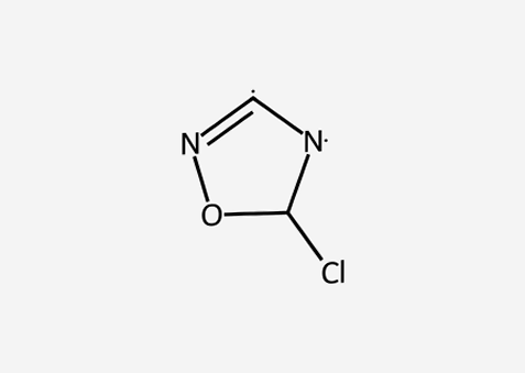 ClC1[N][C]=NO1